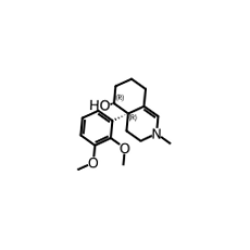 COc1cccc([C@@]23CCN(C)C=C2CCC[C@H]3O)c1OC